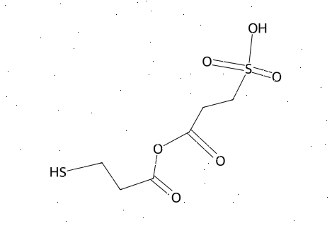 O=C(CCS)OC(=O)CCS(=O)(=O)O